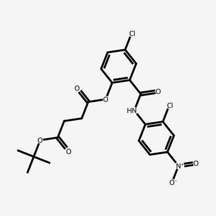 CC(C)(C)OC(=O)CCC(=O)Oc1ccc(Cl)cc1C(=O)Nc1ccc([N+](=O)[O-])cc1Cl